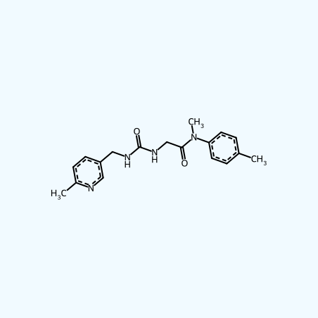 Cc1ccc(N(C)C(=O)CNC(=O)NCc2ccc(C)nc2)cc1